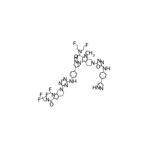 Cn1c2c(c(-[n+]3cc(-c4ccc(Nc5ncnc(N6CCc7cc(C(=O)N8CC(F)(F)C8)n(C(F)F)c7C6)n5)cc4)c[nH]3)c1C(=O)N(CCF)CCF)CCN(c1nnc(Nc3ccc(-c4cn[nH]c4)cc3)o1)C2